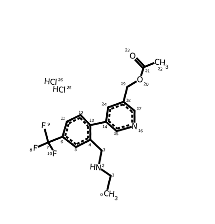 CCNCc1cc(C(F)(F)F)ccc1-c1cncc(COC(C)=O)c1.Cl.Cl